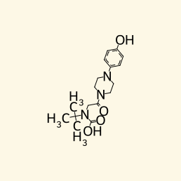 CC(C)(C)N(CC(=O)N1CCN(c2ccc(O)cc2)CC1)C(=O)O